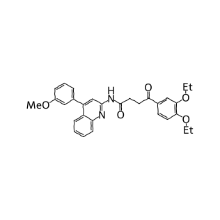 CCOc1ccc(C(=O)CCC(=O)Nc2cc(-c3cccc(OC)c3)c3ccccc3n2)cc1OCC